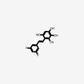 N#Cc1cc(O)c(O)c(C#N)c1C=Cc1cc(F)cc(F)c1